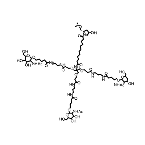 CC(=O)NC1C(O)CC(CO)OC1OCCCCC(=O)NCCCNC(=O)CCOCC(COCCC(=O)NCCCNC(=O)CCCCOC1OC(CO)C(O)C(O)C1NC(C)=O)(COCCC(=O)NCCCNC(=O)CCCCOC1OC(CO)C(O)C(O)C1NC(C)=O)NC(=O)CCCCCCCCCCC(=O)N1C[C@H](O)C[C@H]1COI(C)C